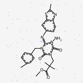 COC(=O)C(C)(C)Cn1c(=O)n(N)/c(=N\c2ccc3nc(C)sc3c2)n(Cc2ccc(C)cc2)c1=O